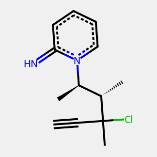 C#CC(C)(Cl)[C@@H](C)[C@@H](C)n1ccccc1=N